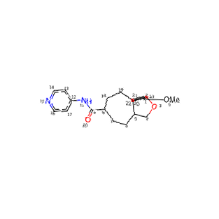 COC1=C2OCC3CCC(C(=O)Nc4ccncc4)CCC23CC=C1